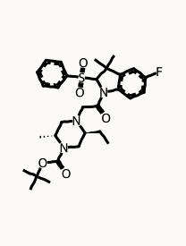 CC[C@H]1CN(C(=O)OC(C)(C)C)[C@H](C)CN1CC(=O)N1c2ccc(F)cc2C(C)(C)C1S(=O)(=O)c1ccccc1